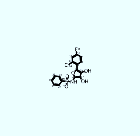 O=S(=O)(Nc1oc(-c2ccc(F)cc2Cl)c(O)c1O)c1ccccc1